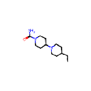 CCC1CCN(C2CCN(C(N)=O)CC2)CC1